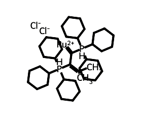 CC(C)=C([C](=[Ru+2])[PH](C1CCCCC1)(C1CCCCC1)C1CCCCC1)[PH](C1CCCCC1)(C1CCCCC1)C1CCCCC1.[Cl-].[Cl-]